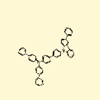 c1ccc(-c2ccc(N(c3ccc(-c4ccccc4)cc3)c3ccc(-c4ccc(-n5c6ccccc6c6cc(-c7ccccc7)ccc65)cc4)cc3)cc2)cc1